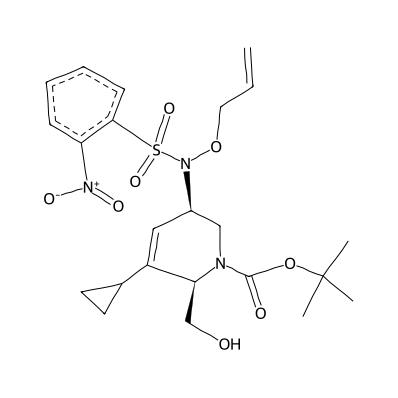 C=CCON([C@@H]1C=C(C2CC2)[C@H](CO)N(C(=O)OC(C)(C)C)C1)S(=O)(=O)c1ccccc1[N+](=O)[O-]